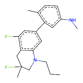 CCCN1CC(C)(F)Cc2c(F)cc(-c3cc(NC)ccc3C)cc21